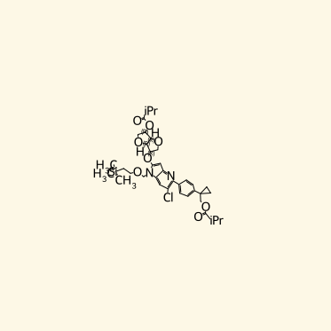 CC(C)C(=O)OCC1(c2ccc(-c3nc4cc(O[C@@H]5CO[C@H]6[C@@H]5OC[C@H]6OC(=O)C(C)C)n(COCC[Si](C)(C)C)c4cc3Cl)cc2)CC1